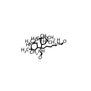 CC1(C)CC(C(CCCCCNC=O)(NC=O)C2CC(C)(C)NC(C)(C)C2)CC(C)(C)N1